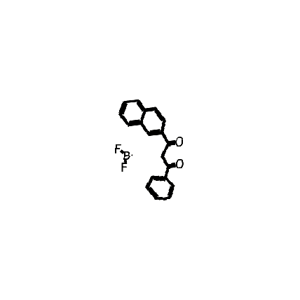 F[B]F.O=C(CC(=O)c1ccc2ccccc2c1)c1ccccc1